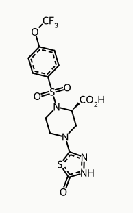 O=C(O)[C@H]1CN(c2n[nH]c(=O)s2)CCN1S(=O)(=O)c1ccc(OC(F)(F)F)cc1